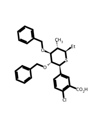 CC[C@H]1S[C@@H](c2ccc(Cl)c(C(=O)O)c2)[C@H](OCc2ccccc2)[C@@H](OCc2ccccc2)[C@@H]1C